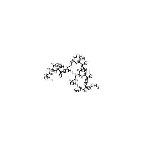 CCCCC(CC)CC(S)C(=O)[O-].CCCCC(CC)CC(S)C(=O)[O-].CCCCC(CC)CC(S)C(=O)[O-].COC(=O)C[CH2][Sn+3]